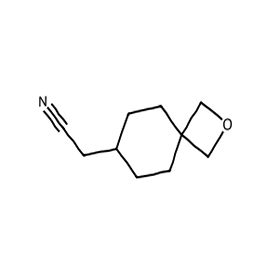 N#CCC1CCC2(CC1)COC2